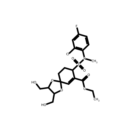 CCOC(=O)C1=CC2(CCC1S(=O)(=O)N(C)c1ccc(F)cc1Cl)OC(CO)C(CO)O2